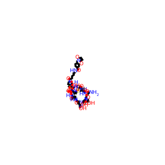 CC[C@H](C)[C@@H]1NC(=O)CNC(=O)[C@@H]2Cc3c([nH]c4c(CSC5CCN(C(=O)CCCCCNC(=O)C6CCC(CN7C(=O)C=CC7=O)CC6)CC5)c(OC)ccc34)[S+]([O-])C[C@H](NC(=O)CNC1O)C(=O)N[C@@H](CC(N)=O)C(=O)N1C[C@H](O)C[C@H]1C(=O)N[C@@H]([C@@H](C)[C@@H](O)CO)C(=O)N2